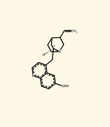 C=CC1CN2CCC1C[C@@H]2Cc1ccnc2ccc(OC)cc12